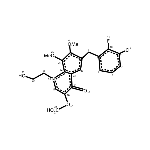 COc1c(Cc2cccc(Cl)c2F)cc2c(=O)c(OC(=O)O)cn(CCO)c2c1OC